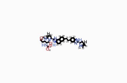 COC(=O)N[C@@H]1C(=O)N2[C@H](c3nc4c(ccc5cc(CCc6ccc7[nH]c([C@@H]8C[C@H]9CC9(C)N8C)nc7c6)ccc54)[nH]3)C[C@H]3C[C@]32N2COCCC12